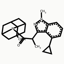 COC12CC3CC(C1)N(C(=O)C(C)c1nn(C)c4cccc(C5CC5)c14)C(C3)C2